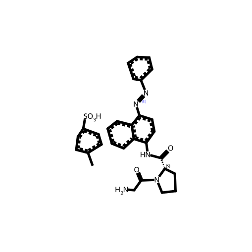 Cc1ccc(S(=O)(=O)O)cc1.NCC(=O)N1CCC[C@H]1C(=O)Nc1ccc(/N=N/c2ccccc2)c2ccccc12